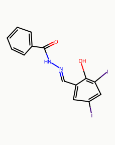 O=C(N/N=C/c1cc(I)cc(I)c1O)c1ccccc1